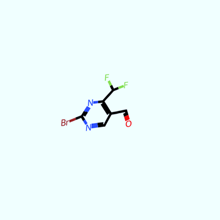 O=Cc1cnc(Br)nc1C(F)F